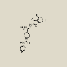 NC(CNC(=O)C1(c2ccc(F)cc2F)CC1)C1CCN(C(=O)Nc2ccncc2)CC1